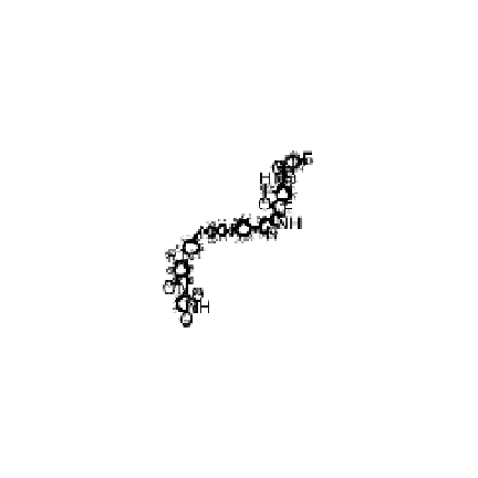 O=C1CC[C@H](N2Cc3cc(N4CCC(CN5CC6(C5)CN(c5ccc(-c7cnc8[nH]cc(C(=O)c9c(F)ccc(NS(=O)(=O)N%10CC[C@@H](F)C%10)c9F)c8c7)cc5)C6)CC4)c(F)cc3C2=O)C(=O)N1